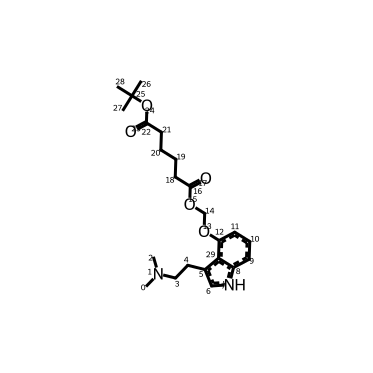 CN(C)CCc1c[nH]c2cccc(OCOC(=O)CCCCC(=O)OC(C)(C)C)c12